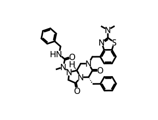 CN(C)c1nc2c(CN3C[C@H]4N(C(=O)CN4N(C)C(=O)NCc4ccccc4)[C@@H](Cc4ccccc4)C3=O)cccc2s1